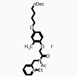 CCCCCCCCCCCCCCOc1ccc(OCC(=O)N(Cc2cccc[n+]2CC)C(C)=O)c(C)c1.[I-]